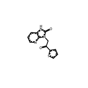 O=C(Cn1c(=O)[nH]c2cccnc21)c1cccs1